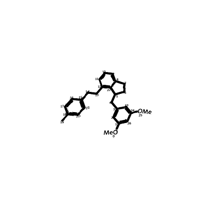 COc1cc(CC2CCc3cccc(CCc4ccc(C)cc4)c32)cc(OC)c1